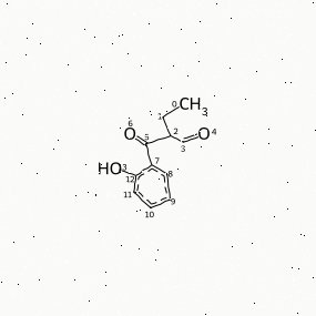 CCC(C=O)C(=O)c1ccccc1O